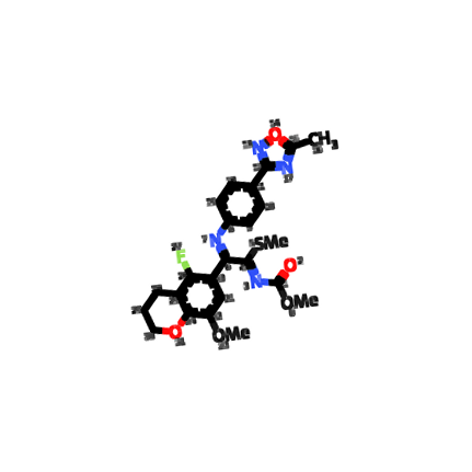 COC(=O)N=C(SC)C(=Nc1ccc(-c2noc(C)n2)cc1)c1cc(OC)c2c(c1F)CCCO2